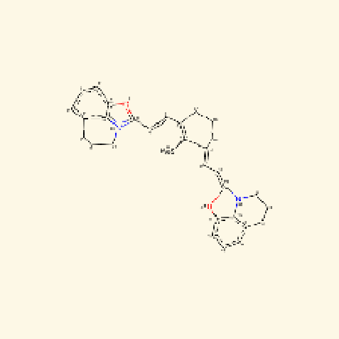 CSC1=C(/C=C/c2oc3cccc4c3[n+]2CCC4)CCC/C1=C\C=C1/Oc2cccc3c2N1CCC3